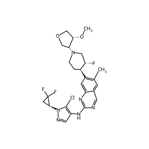 CO[C@H]1COC[C@H]1N1CC[C@H](c2cc3nc(Nc4cnn([C@H]5CC5(F)F)c4Cl)ncc3cc2C)[C@@H](F)C1